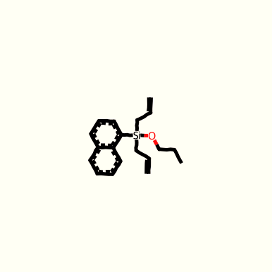 C=CC[Si](CC=C)(OCCC)c1cccc2ccccc12